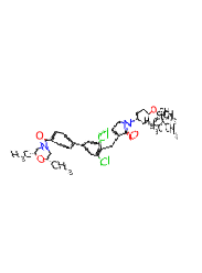 C[C@@H]1CN(C(=O)c2ccc(-c3cc(Cl)c(CC4CCN(C5CCC(O[Si](C)(C)C(C)(C)C)CC5)C4=O)c(Cl)c3)cc2)C[C@H](C)O1